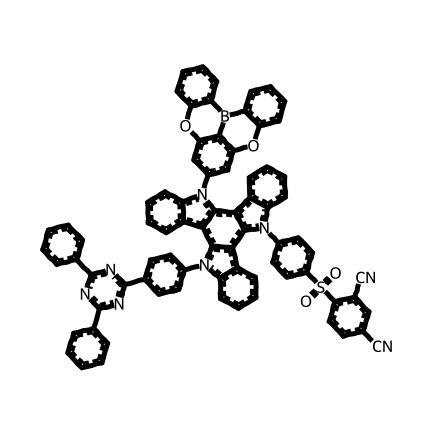 N#Cc1ccc(S(=O)(=O)c2ccc(-n3c4ccccc4c4c3c3c5ccccc5n(-c5ccc(-c6nc(-c7ccccc7)nc(-c7ccccc7)n6)cc5)c3c3c5ccccc5n(-c5cc6c7c(c5)Oc5ccccc5B7c5ccccc5O6)c34)cc2)c(C#N)c1